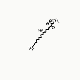 CCCCCCCCCCCCCCCCC(=O)C(CC)[N+](=O)[O-].N